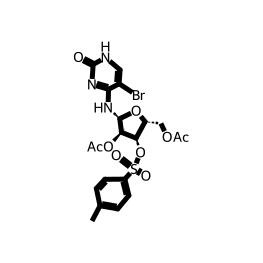 CC(=O)OC[C@H]1O[C@@H](Nc2nc(=O)[nH]cc2Br)[C@H](OC(C)=O)[C@H]1OS(=O)(=O)c1ccc(C)cc1